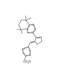 CC1(C)CCC(C)(C)c2cc(C3=CCCC3=Cc3ccc(C(=O)O)cc3)ccc21